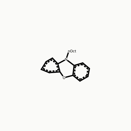 CCCCCCCCN1c2ccccc2Oc2ccccc21